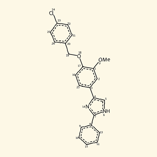 COc1cc(-c2c[nH]c(-c3ccccc3)n2)ccc1OCc1ccc(Cl)cc1